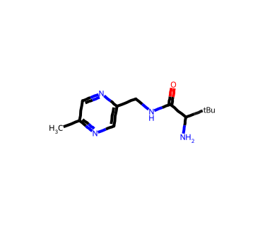 Cc1cnc(CNC(=O)C(N)C(C)(C)C)cn1